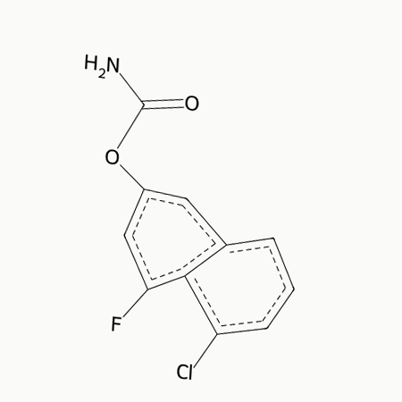 NC(=O)Oc1cc(F)c2c(Cl)cccc2c1